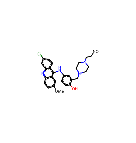 COc1ccc2nc3cc(Cl)ccc3c(Nc3ccc(O)c(CN4CCN(CCN=O)CC4)c3)c2c1